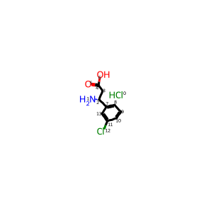 Cl.N[C@H](CC(=O)O)c1cccc(Cl)c1